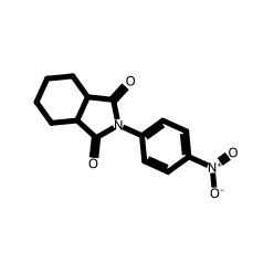 O=C1C2CCCCC2C(=O)N1c1ccc([N+](=O)[O-])cc1